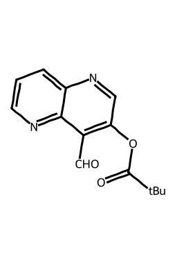 CC(C)(C)C(=O)Oc1cnc2cccnc2c1C=O